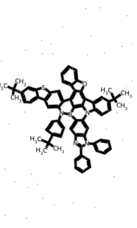 CC(C)(C)c1ccc(N2B3c4cc5nc(-c6ccccc6)n(-c6ccccc6)c5cc4-n4c5ccc(C(C)(C)C)cc5c5c6oc7ccccc7c6c(c3c54)-c3cc4sc5cc(C(C)(C)C)ccc5c4cc32)cc1